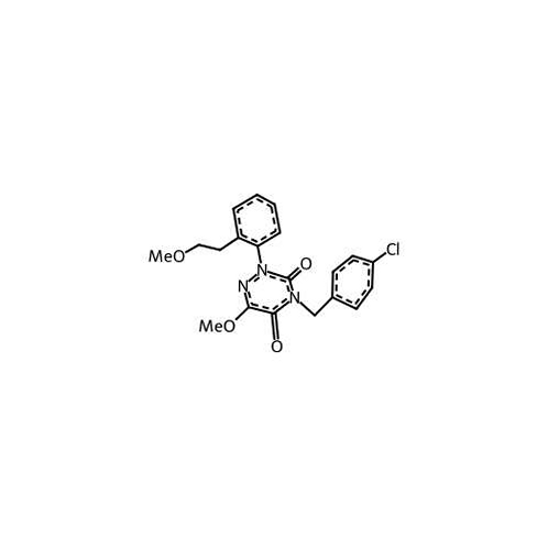 COCCc1ccccc1-n1nc(OC)c(=O)n(Cc2ccc(Cl)cc2)c1=O